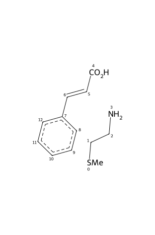 CSCCN.O=C(O)C=Cc1ccccc1